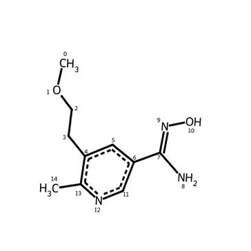 COCCc1cc(C(N)=NO)cnc1C